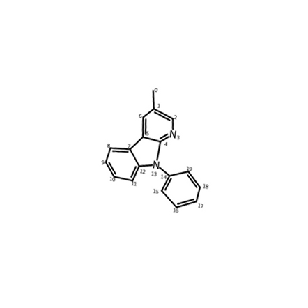 Cc1cnc2c(c1)c1ccccc1n2-c1ccccc1